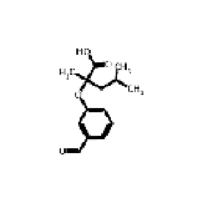 CC(C)CC(C)(Oc1cccc(C=O)c1)C(=O)O